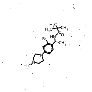 C[C@@H](N[S@+]([O-])C(C)(C)C)c1ccc(N2CCN(C)CC2)cc1Br